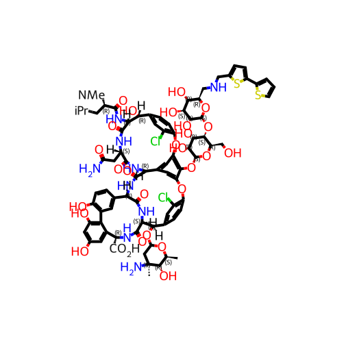 CN[C@H](CC(C)C)C(=O)N[C@H]1C(=O)N[C@@H](CC(N)=O)C(=O)N[C@H]2C(=O)N[C@H]3C(=O)N[C@H](C(=O)N[C@@H](C(=O)O)c4cc(O)cc(O)c4-c4cc3ccc4O)[C@H](OC3C[C@](C)(N)[C@@H](O)[C@H](C)O3)c3ccc(c(Cl)c3)Oc3cc2cc(c3O[C@@H]2O[C@H](CO)[C@@H](O[C@@H]3O[C@H](CNCc4ccc(-c5cccs5)s4)[C@H](O)[C@H](O)[C@H]3O)[C@H](O)[C@H]2O)Oc2ccc(cc2Cl)[C@H]1O